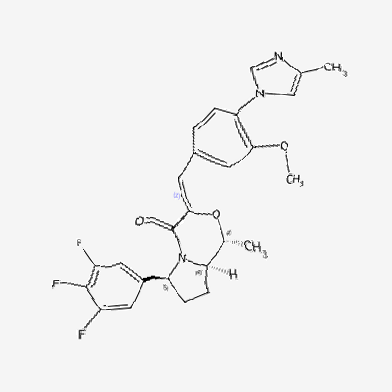 COc1cc(/C=C2\O[C@H](C)[C@H]3CC[C@@H](c4cc(F)c(F)c(F)c4)N3C2=O)ccc1-n1cnc(C)c1